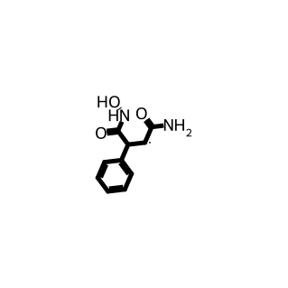 NC(=O)[CH]C(C(=O)NO)c1ccccc1